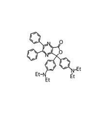 CCN(CC)c1ccc(C2(c3ccc(N(CC)CC)cc3)OC(=O)c3nc(-c4ccccc4)c(-c4ccccc4)nc32)cc1